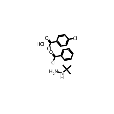 CC(C)(C)NN.Cl.O=C(Cl)c1ccc(Cl)cc1.O=C(Cl)c1ccccc1